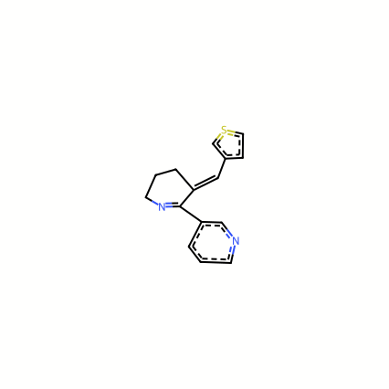 C(=C1CCCN=C1c1cccnc1)c1ccsc1